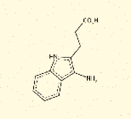 Nc1c(CCC(=O)O)[nH]c2ccccc12